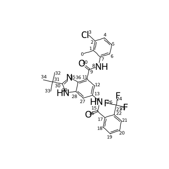 Cc1c(Cl)cccc1NC(=O)c1cc(NC(=O)c2ccccc2C(F)(F)F)cc2[nH]c(C(C)(C)C)nc12